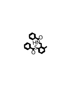 Cc1cccc(SC(=O)c2ccccc2)c1CNC(=O)c1ccccc1